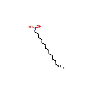 CCCCCCCCCCCCCCN(O)O